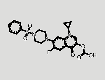 O=C(O)Oc1cn(C2CC2)c2cc(N3CCN(S(=O)(=O)c4ccccc4)CC3)c(F)cc2c1=O